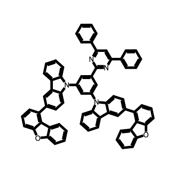 c1ccc(-c2cc(-c3ccccc3)nc(-c3cc(-n4c5ccccc5c5cc(-c6cccc7oc8ccccc8c67)ccc54)cc(-n4c5ccccc5c5cc(-c6cccc7oc8ccccc8c67)ccc54)c3)n2)cc1